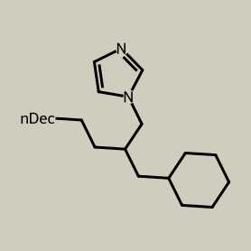 CCCCCCCCCCCCC(CC1CCCCC1)Cn1ccnc1